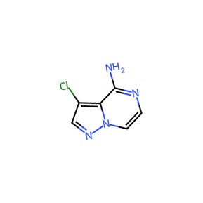 Nc1nccn2ncc(Cl)c12